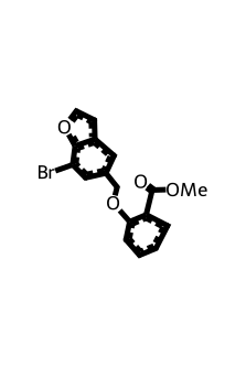 COC(=O)c1ccccc1OCc1cc(Br)c2occc2c1